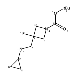 CC(C)(C)OC(=O)N1CC(F)(CNC2CC2)C1